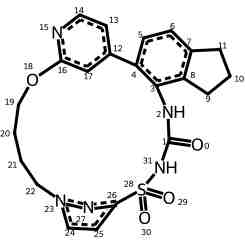 O=C1Nc2c(ccc3c2CCC3)-c2ccnc(c2)OCCCCn2ccc(n2)S(=O)(=O)N1